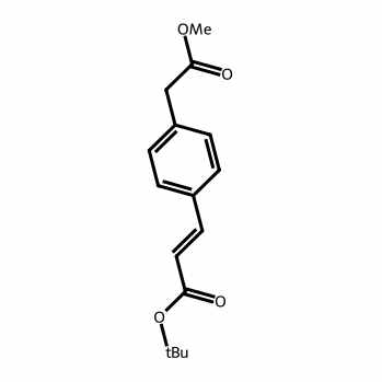 COC(=O)Cc1ccc(/C=C/C(=O)OC(C)(C)C)cc1